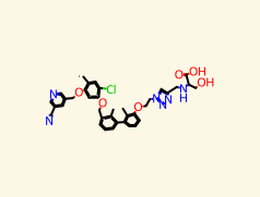 [CH2]c1cc(Cl)c(OCc2cccc(-c3cccc(OCCn4cc(CNC(CO)C(=O)O)nn4)c3C)c2C)cc1OCc1cncc(C#N)c1